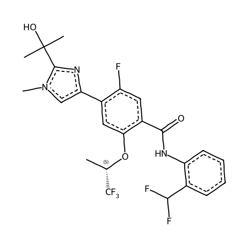 C[C@H](Oc1cc(-c2cn(C)c(C(C)(C)O)n2)c(F)cc1C(=O)Nc1ccccc1C(F)F)C(F)(F)F